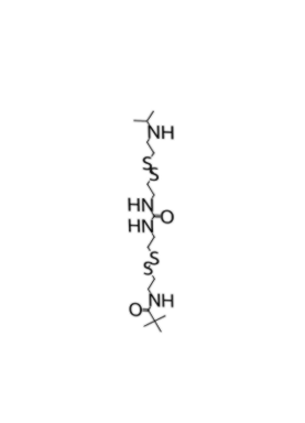 CC(C)NCCSSCCNC(=O)NCCSSCCNC(=O)C(C)(C)C